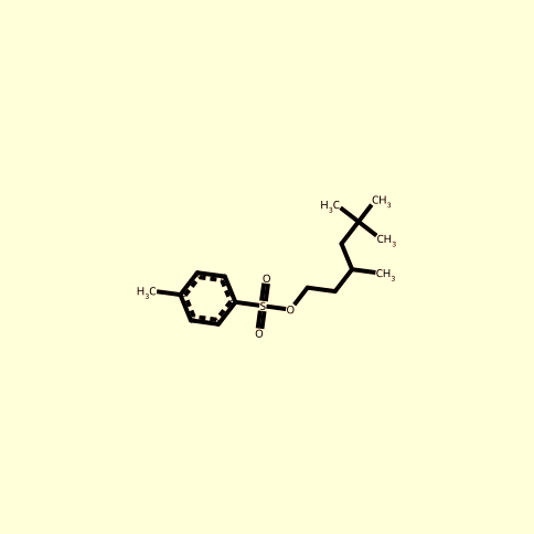 Cc1ccc(S(=O)(=O)OCCC(C)CC(C)(C)C)cc1